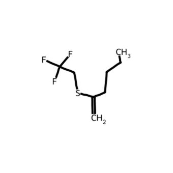 C=C(CCCC)SCC(F)(F)F